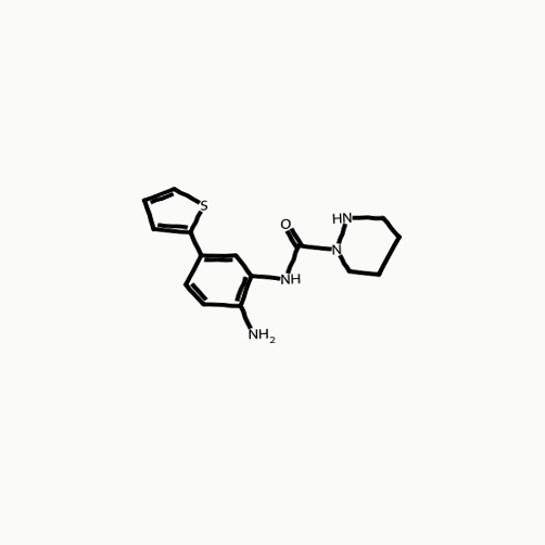 Nc1ccc(-c2cccs2)cc1NC(=O)N1CCCCN1